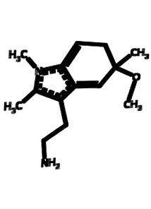 COC1(C)C=c2c(CCN)c(C)n(C)c2=CC1